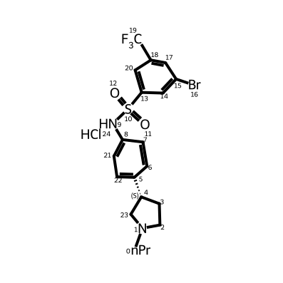 CCCN1CC[C@@H](c2ccc(NS(=O)(=O)c3cc(Br)cc(C(F)(F)F)c3)cc2)C1.Cl